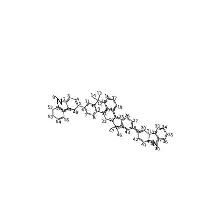 CN1C2=CC=C(c3ccc4c(c3)C(C)(C)c3cccc5c3=C4CC3C=5c4ccc(C5=CC6c7ccccc7N(C)C6C=C5)cc4C3(C)C)CC2C2=C1CCC=C2